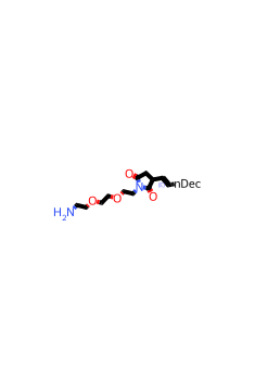 CCCCCCCCCC/C=C/C1CC(=O)N(CCOCCOCCN)C1=O